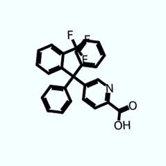 O=C(O)c1ccc(C(c2ccccc2)(c2ccccc2)c2ccccc2C(F)(F)F)cn1